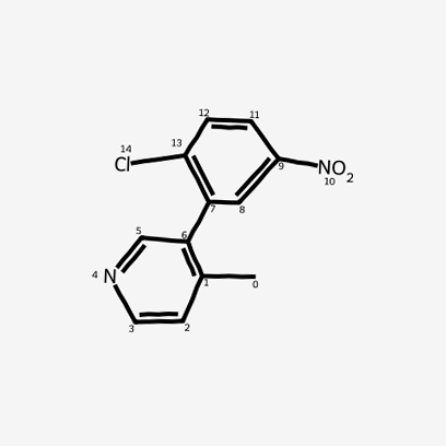 Cc1ccncc1-c1cc([N+](=O)[O-])ccc1Cl